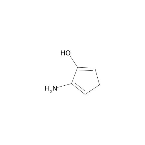 NC1=CCC=C1O